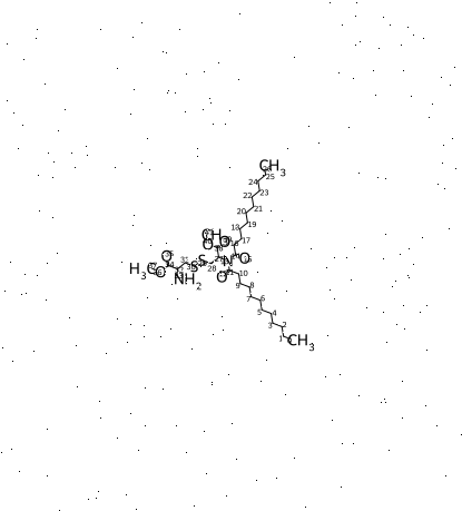 CCCCCCCCCCCC(=O)N(C(=O)CCCCCCCCCCC)[C@@H](CSSCC(N)C(=O)OC)C(=O)OC